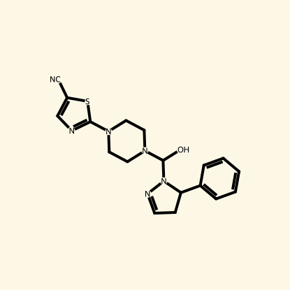 N#Cc1cnc(N2CCN(C(O)N3N=CCC3c3ccccc3)CC2)s1